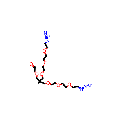 CC(COCC=O)(COCCOCCOCCN=[N+]=[N-])COCCOCCOCCN=[N+]=[N-]